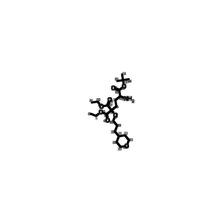 CCOC(=O)C(CCC(N)C(=O)OC(C)(C)C)(OCCCC1CCOCC1)C(=O)OCC